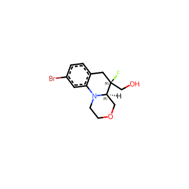 OC[C@@]1(F)Cc2ccc(Br)cc2N2CCOC[C@@H]21